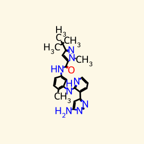 Cc1ccc(NC(=O)c2cc(C(C)(C)C)nn2C)cc1Nc1ncccc1-c1cc(N)ncn1